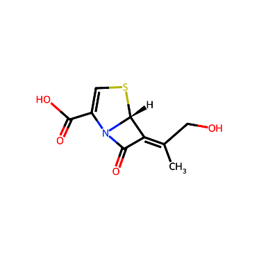 CC(CO)=C1C(=O)N2C(C(=O)O)=CS[C@H]12